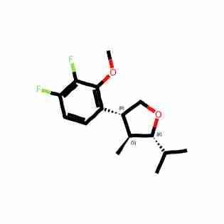 COc1c([C@@H]2CO[C@H](C(C)C)[C@H]2C)ccc(F)c1F